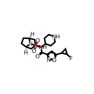 O=C(NC1C[C@H]2CC[C@@H](C1)N2S(=O)(=O)CC1CCNCC1)c1cc(C2CC2F)on1